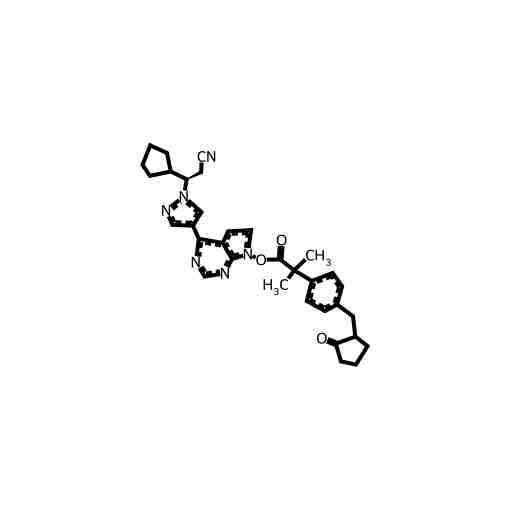 CC(C)(C(=O)On1ccc2c(-c3cnn([C@H](CC#N)C4CCCC4)c3)ncnc21)c1ccc(CC2CCCC2=O)cc1